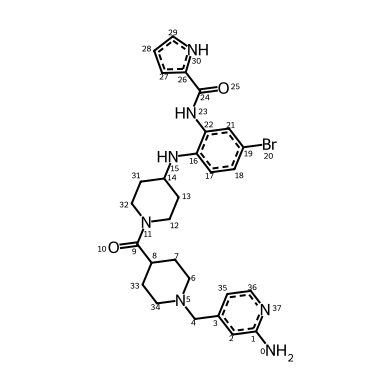 Nc1cc(CN2CCC(C(=O)N3CCC(Nc4ccc(Br)cc4NC(=O)c4ccc[nH]4)CC3)CC2)ccn1